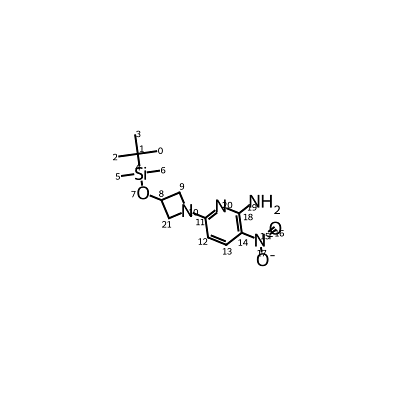 CC(C)(C)[Si](C)(C)OC1CN(c2ccc([N+](=O)[O-])c(N)n2)C1